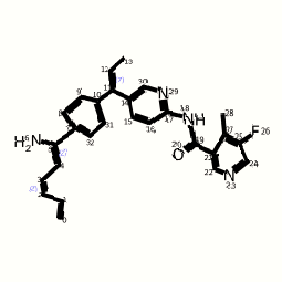 C=C/C=C\C=C(/N)c1ccc(/C(=C/C)c2ccc(NC(=O)c3cncc(F)c3C)nc2)cc1